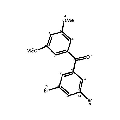 COc1cc(OC)cc(C(=O)c2cc(Br)cc(Br)c2)c1